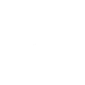 CC=CC(C)CCCC=O